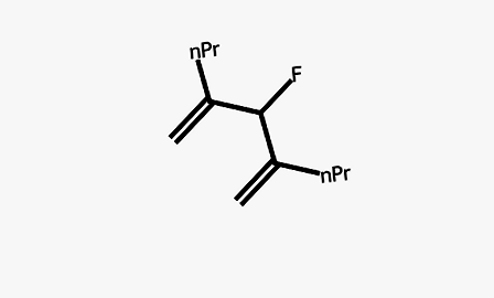 C=C(CCC)C(F)C(=C)CCC